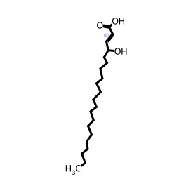 CCCCCCCCCCCCCCCCCC(O)/C=C/C(=O)O